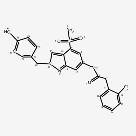 NS(=O)(=O)c1cc(NC(=O)Cc2ccccc2Cl)cc2nn(Cc3ccc(O)nc3)cc12